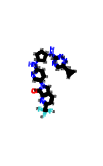 O=C1c2nc(C(F)(F)F)ccc2CN1c1ccc(N[C@H]2CC[C@H](Nc3ncc(C4CC4)nn3)C2)nc1